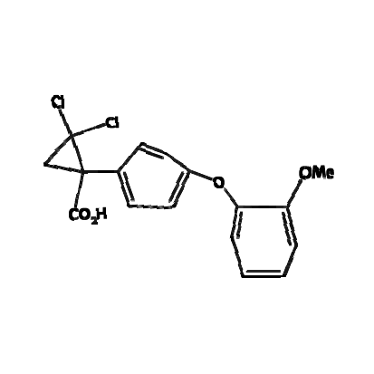 COc1ccccc1Oc1ccc(C2(C(=O)O)CC2(Cl)Cl)cc1